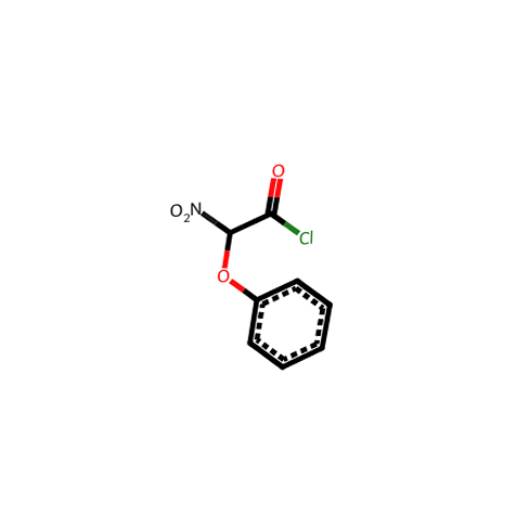 O=C(Cl)C(Oc1ccccc1)[N+](=O)[O-]